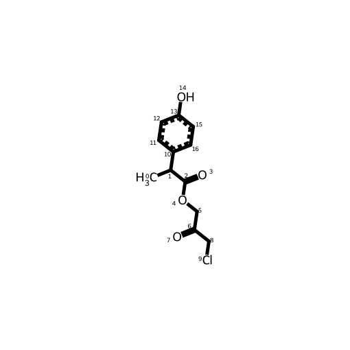 CC(C(=O)OCC(=O)CCl)c1ccc(O)cc1